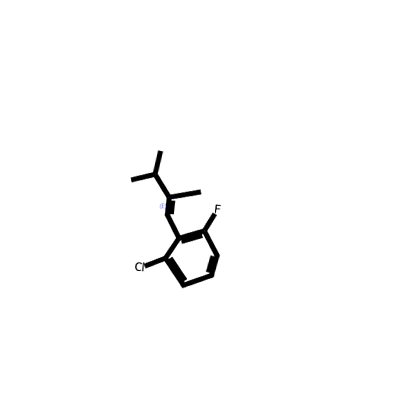 C/C(=C\c1c(F)cccc1Cl)C(C)C